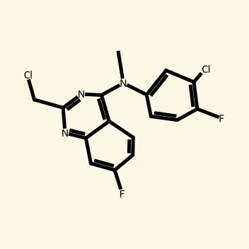 CN(c1ccc(F)c(Cl)c1)c1nc(CCl)nc2cc(F)ccc12